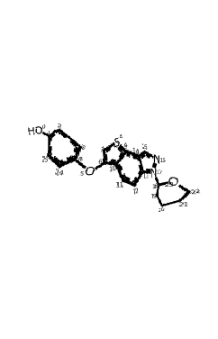 Oc1ccc(Oc2csc3c2ccc2c3cnn2C2CCCCO2)cc1